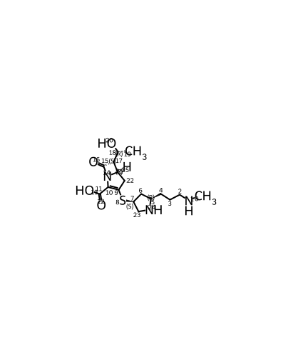 CNCCC[C@@H]1C[C@H](SC2=C(C(=O)O)N3C(=O)[C@H]([C@@H](C)O)[C@H]3C2)CN1